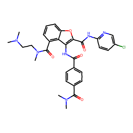 CN(C)CCN(C)C(=O)c1cccc2oc(C(=O)Nc3ccc(Cl)cn3)c(NC(=O)c3ccc(C(=O)N(C)C)cc3)c12